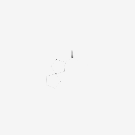 CC(=O)N1CCC2(CCCC2)C1